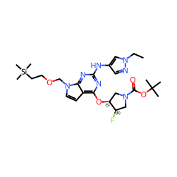 CCn1cc(Nc2nc(O[C@H]3CN(C(=O)OC(C)(C)C)C[C@H]3F)c3ccn(COCC[Si](C)(C)C)c3n2)cn1